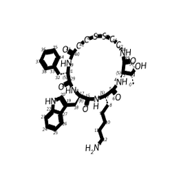 C[C@@H](O)[C@@H]1NC(=O)[C@H](CCCCCN)NC(=O)[C@@H](Cc2c[nH]c3ccccc23)NC(=O)[C@H](Cc2ccccc2)NC(=O)CCSSCCNC1=O